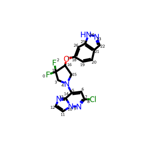 FC1(F)CN(c2cc(Cl)nn3ccnc23)CC1Oc1ccc2cn[nH]c2c1